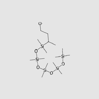 CC(CC[O])[Si](C)(C)O[Si](C)(C)O[Si](C)(C)O[Si](C)(C)O[Si](C)(C)C